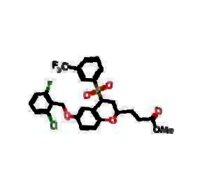 COC(=O)CCC1CC(S(=O)(=O)c2cccc(C(F)(F)F)c2)c2cc(OCc3c(F)cccc3Cl)ccc2O1